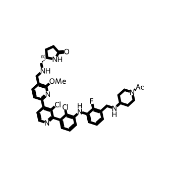 COc1nc(-c2ccnc(-c3cccc(Nc4cccc(CNC5CCN(C(C)=O)CC5)c4F)c3Cl)c2Cl)ccc1CNC[C@@H]1CCC(=O)N1